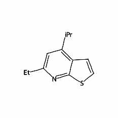 CCc1cc(C(C)C)c2ccsc2n1